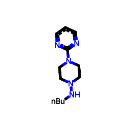 CCCCNN1CCN(c2ncccn2)CC1